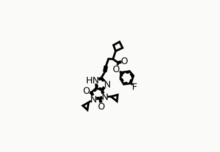 O=C(Oc1ccc(F)cc1)C(CC#Cc1nc2c([nH]1)c(=O)n(C1CC1)c(=O)n2C1CC1)C1CCC1